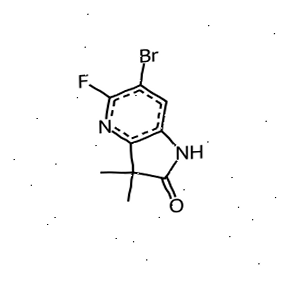 CC1(C)C(=O)Nc2cc(Br)c(F)nc21